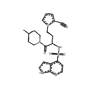 CC1CCN(C(=O)C(CCn2cccc2C#N)NS(=O)(=O)c2ccnc3[nH]ccc23)CC1